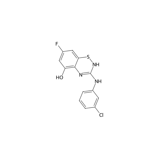 Oc1cc(F)cc2c1N=C(Nc1cccc(Cl)c1)NS2